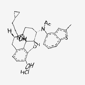 CC(=O)N(c1cccc2sc(C)cc12)[C@H]1CC[C@@]2(O)[C@H]3Cc4ccc(O)c5c4[C@@]2(CCN3CC2CC2)[C@H]1O5.Cl